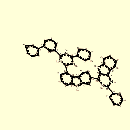 c1ccc(-c2cccc(-c3nc(-c4ccccc4)nc(-c4cccc5sc6cc(-c7nc(-c8ccccc8)nc8c7oc7ccccc78)ccc6c45)n3)c2)cc1